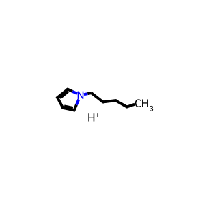 CCCCCn1cccc1.[H+]